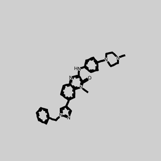 CN1CCN(c2ccc(Nc3nc4ccc(-c5cnn(Cc6ccccc6)c5)cc4n(C)c3=O)cc2)CC1